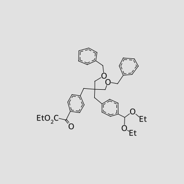 CCOC(=O)C(=O)c1ccc(CC(COCc2ccccc2)(COCc2ccccc2)Cc2ccc(C(OCC)OCC)cc2)cc1